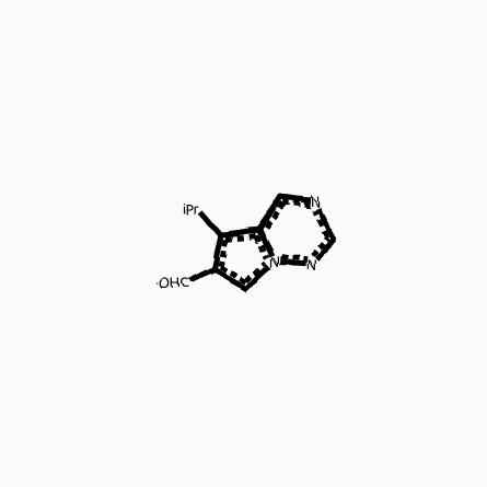 CC(C)c1c([C]=O)cn2ncncc12